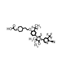 CC(F)(F)c1cc(N2C(=S)N(c3cnc(C#N)c(C(F)(F)F)c3)C(=O)C2(C)C)ccc1OCCC1CCN(CC(=O)O)CC1